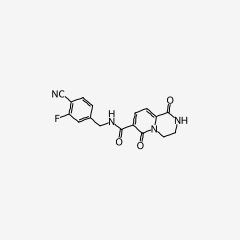 N#Cc1ccc(CNC(=O)c2ccc3n(c2=O)CCNC3=O)cc1F